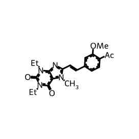 CCn1c(=O)c2c(nc(/C=C/c3ccc(C(C)=O)c(OC)c3)n2C)n(CC)c1=O